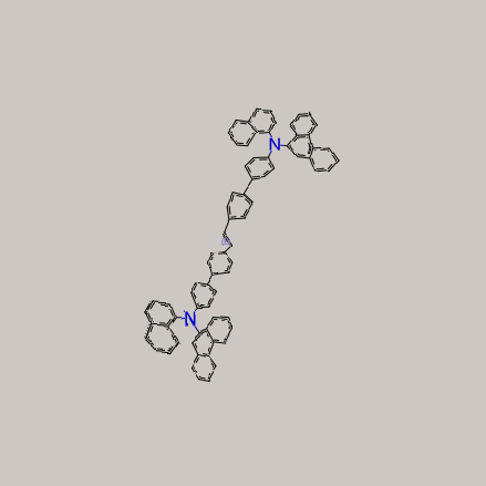 C(=C\c1ccc(-c2ccc(N(c3cccc4ccccc34)c3cc4ccccc4c4ccccc34)cc2)cc1)/c1ccc(-c2ccc(N(c3cccc4ccccc34)c3cc4ccccc4c4ccccc34)cc2)cc1